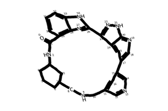 O=C1NC2CCCC(CNCc3cncc(c3)-c3cnc4[nH]nc(c4c3)-c3nc4c1cccc4[nH]3)C2